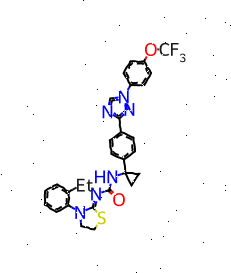 CCc1ccccc1N1CCS/C1=N\C(=O)NC1(c2ccc(-c3ncn(-c4ccc(OC(F)(F)F)cc4)n3)cc2)CC1